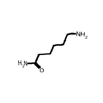 NCCCC[CH]C(N)=O